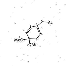 COC1(OC)C=CC(CC(C)=O)=CC1